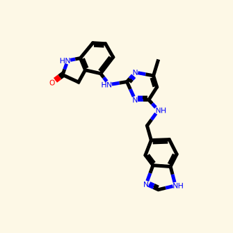 Cc1cc(NCc2ccc3[nH]cnc3c2)nc(Nc2cccc3c2CC(=O)N3)n1